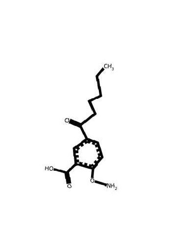 CCCCCC(=O)c1ccc(ON)c(C(=O)O)c1